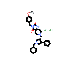 COc1ccc(CN2C(=O)NC3(CCN(C[C@H]4CN(CC5CCCCC5)C[C@@H]4c4ccccc4)CC3)C2=O)cc1.Cl.Cl